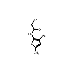 CC(=O)CC(=O)Nc1sc(C)cc1C(C)=O